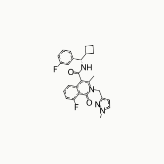 Cc1c(C(=O)N[C@H](c2cccc(F)c2)C2CCC2)c2cccc(F)c2c(=O)n1Cc1ccn(C)n1